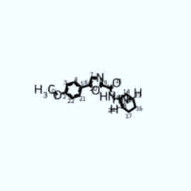 COc1ccc(-c2cnc(C(=O)N[C@@H]3C[C@H]4CC[C@@H]3N4)o2)cc1